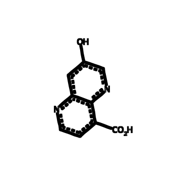 O=C(O)c1ccnc2cc(O)cnc12